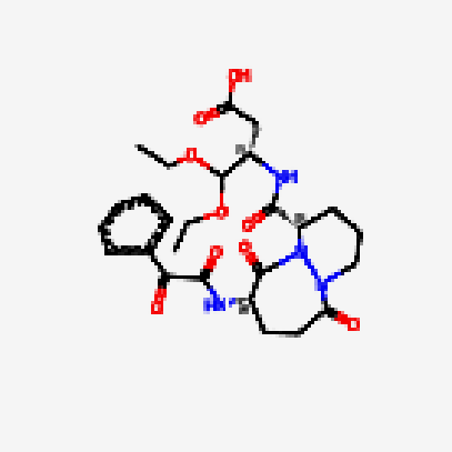 CCOC(OCC)[C@H](CC(=O)O)NC(=O)[C@@H]1CCCN2C(=O)CC[C@H](NC(=O)C(=O)c3ccccc3)C(=O)N12